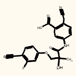 CC(O)(COc1ccc(C#N)c(F)c1)C(=O)Nc1ccc(C#N)c(C(=O)O)c1